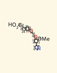 COc1cc(-c2cccnc2)ccc1OCCCOc1ccc2c(c1)CC[C@H]2CC(=O)O